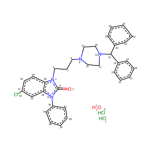 Cl.Cl.O.O=c1n(CCCN2CCN(C(c3ccccc3)c3ccccc3)CC2)c2ccc(Cl)cc2n1-c1ccccc1